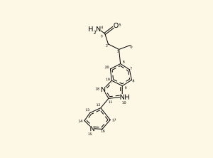 CC(CC(N)=O)c1ccc2[nH]c(-c3ccncc3)nc2c1